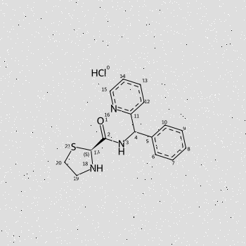 Cl.O=C(NC(c1ccccc1)c1ccccn1)[C@H]1NCCS1